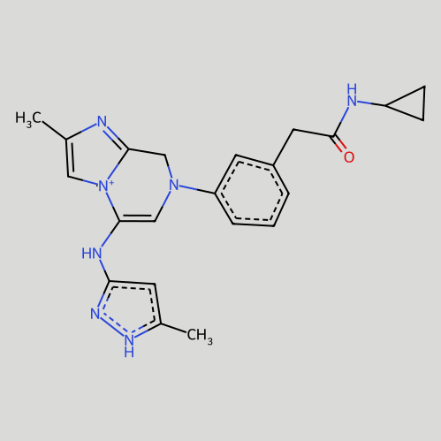 CC1=C[N+]2C(Nc3cc(C)[nH]n3)=CN(c3cccc(CC(=O)NC4CC4)c3)CC2=N1